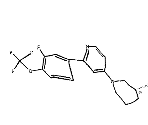 Fc1cc(-c2cc(N3CCC[C@@H](F)C3)ccn2)ccc1OC(F)(F)F